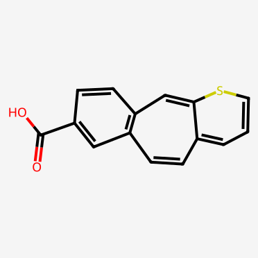 O=C(O)c1ccc2c(c1)C=CC1=CC=CSC1=C2